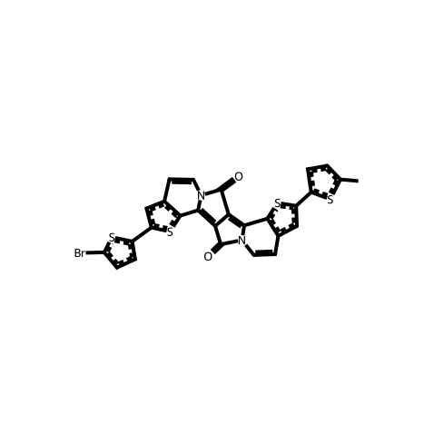 Cc1ccc(-c2cc3c(s2)C2=C4C(=O)N5C=Cc6cc(-c7ccc(Br)s7)sc6C5=C4C(=O)N2C=C3)s1